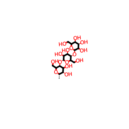 C[C@@H]1OC(CO)[C@@H](O[C@H]2OC(CO)[C@@H](O[C@H]3OC(CO)[C@@H](O)[C@H](O)C3O)[C@H](O)C2O)C(O)[C@@H]1O